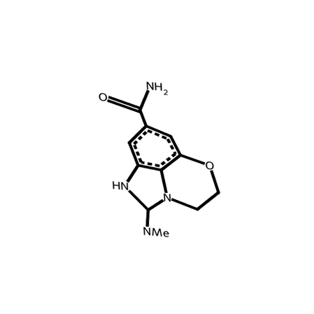 CNC1Nc2cc(C(N)=O)cc3c2N1CCO3